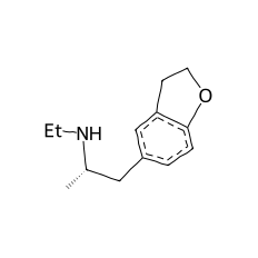 CCN[C@@H](C)Cc1ccc2c(c1)CCO2